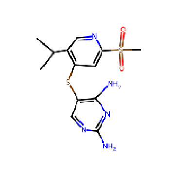 CC(C)c1cnc(S(C)(=O)=O)cc1Sc1cnc(N)nc1N